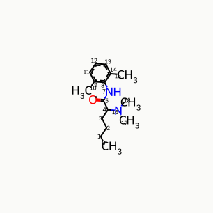 CCCCC(C(=O)Nc1c(C)cccc1C)N(C)C